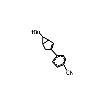 CC(C)(C)C1C2C=C(c3ccc(C#N)cc3)CC21